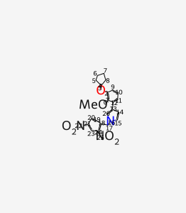 COc1c(OC2CCCC2)cccc1-c1ccn(Cc2ccc([N+](=O)[O-])cc2[N+](=O)[O-])c1